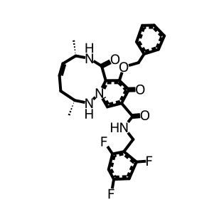 C[C@@H]1C/C=C\[C@H](C)NC(=O)c2c(OCc3ccccc3)c(=O)c(C(=O)NCc3c(F)cc(F)cc3F)cn2N1